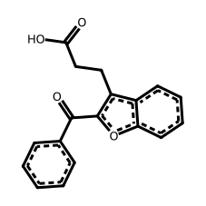 O=C(O)CCc1c(C(=O)c2ccccc2)oc2ccccc12